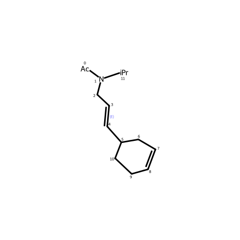 CC(=O)N(C/C=C/C1CC=CCC1)C(C)C